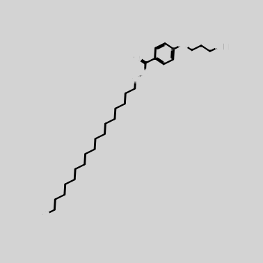 [CH2]CCCCCCCCCCCCCCCCCOOC(=O)c1ccc(OCCCC)cc1